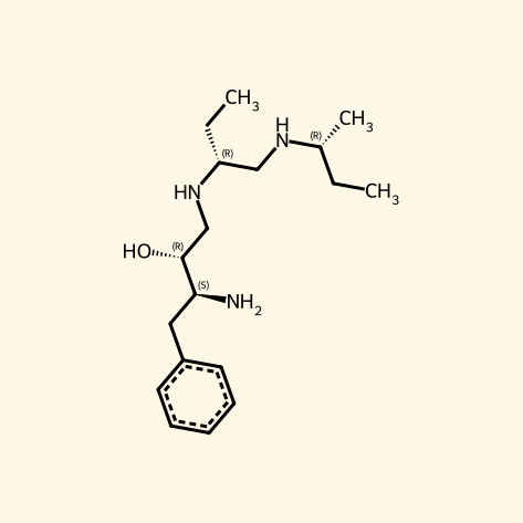 CC[C@H](CN[C@H](C)CC)NC[C@@H](O)[C@@H](N)Cc1ccccc1